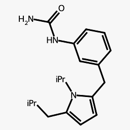 CC(C)Cc1ccc(Cc2cccc(NC(N)=O)c2)n1C(C)C